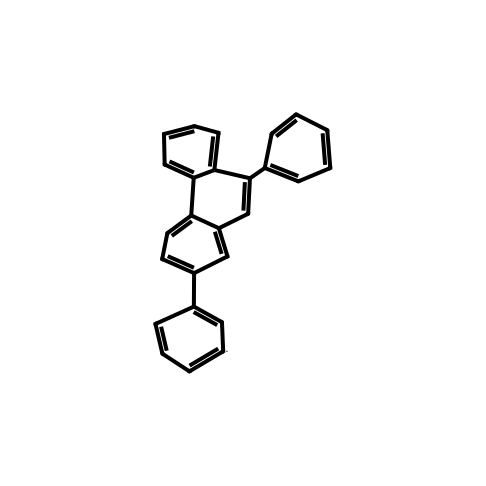 [c]1cccc(-c2ccc3c(c2)cc(-c2ccccc2)c2ccccc23)c1